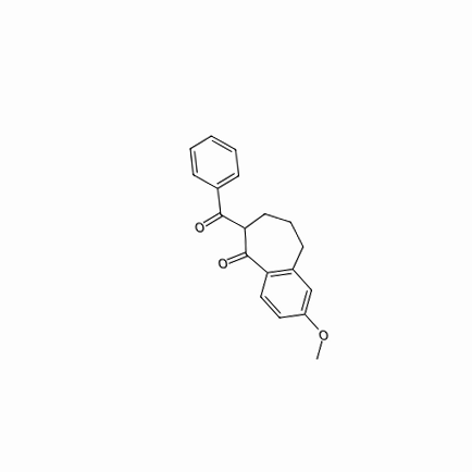 COc1ccc2c(c1)CCCC(C(=O)c1ccccc1)C2=O